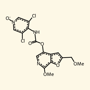 COCc1cc2c(OC(=O)Nc3c(Cl)c[n+]([O-])cc3Cl)cnc(OC)c2o1